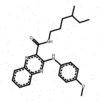 CCC(C)CCCNC(=O)c1nc2ccccc2nc1Nc1ccc(OC)cc1